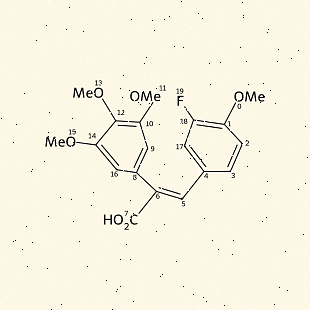 COc1ccc(/C=C(/C(=O)O)c2cc(OC)c(OC)c(OC)c2)cc1F